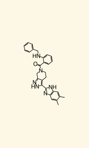 Cc1cc2nc(-c3[nH]nc4c3CCN(C(=O)c3ccccc3NCc3ccccc3)C4)[nH]c2cc1C